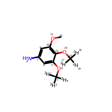 [2H]C([2H])([2H])Oc1cc(N)cc(OC)c1OC([2H])([2H])[2H]